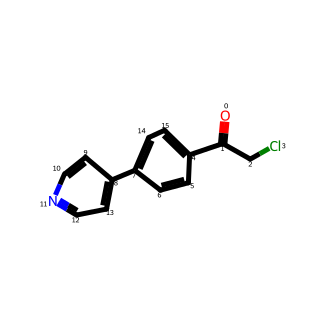 O=C(CCl)c1ccc(-c2ccncc2)cc1